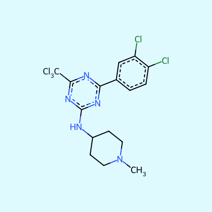 CN1CCC(Nc2nc(-c3ccc(Cl)c(Cl)c3)nc(C(Cl)(Cl)Cl)n2)CC1